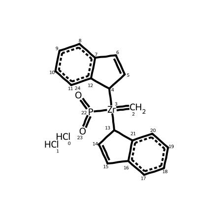 Cl.Cl.[CH2]=[Zr]([CH]1C=Cc2ccccc21)([CH]1C=Cc2ccccc21)[P](=O)=O